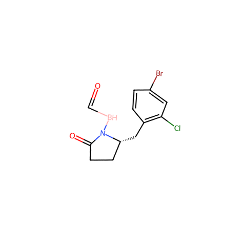 O=CBN1C(=O)CC[C@H]1Cc1ccc(Br)cc1Cl